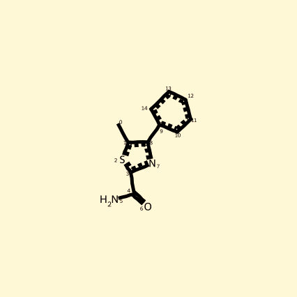 Cc1sc(C(N)=O)nc1-c1ccccc1